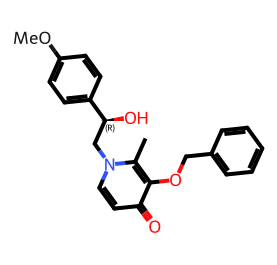 COc1ccc([C@@H](O)Cn2ccc(=O)c(OCc3ccccc3)c2C)cc1